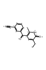 CCc1cc(C(=O)c2cccc(C#N)c2)c(C)[nH]c1=O